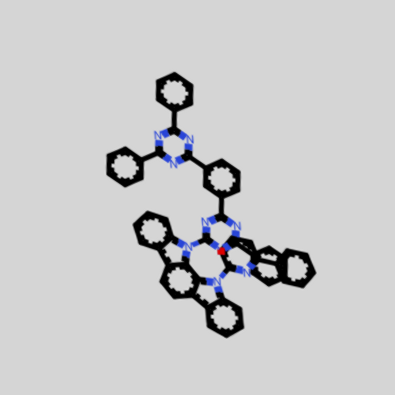 c1ccc(-c2cccc(-n3c4ccccc4c4ccc5c6ccccc6n(-c6nc(-c7ccccc7)nc(-c7cccc(-c8nc(-c9ccccc9)nc(-c9ccccc9)n8)c7)n6)c5c43)n2)cc1